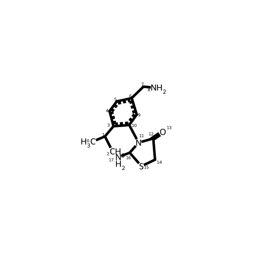 CC(C)c1ccc(CN)cc1N1C(=O)CSC1N